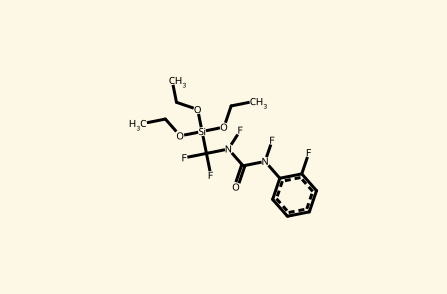 CCO[Si](OCC)(OCC)C(F)(F)N(F)C(=O)N(F)c1ccccc1F